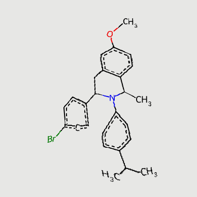 COc1ccc2c(c1)CC(c1ccc(Br)cc1)N(c1ccc(C(C)C)cc1)C2C